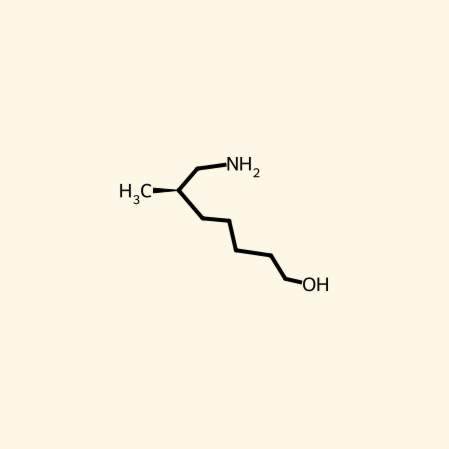 C[C@@H](CN)CCCCCO